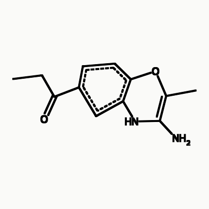 CCC(=O)c1ccc2c(c1)NC(N)=C(C)O2